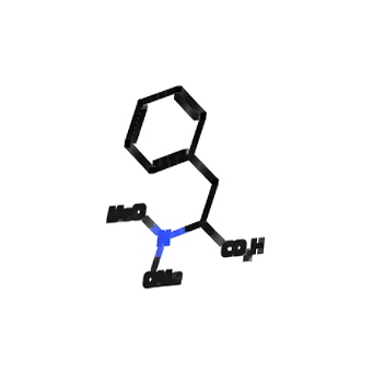 CON(OC)C(Cc1ccccc1)C(=O)O